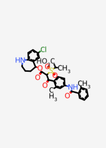 Cc1ccccc1C(=O)Nc1ccc(C(=O)C(C(=O)OC2CCCNc3ccc(Cl)cc32)S(=O)(=O)C(C)C(=O)O)c(C)c1